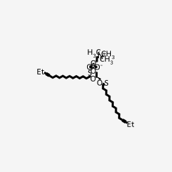 CCC#CCCCCCCCCCCCC(=S)OC[C@H](COP(=O)([O-])OCC[N+](C)(C)C)OC(=S)CCCCCCCCCCCC#CCC